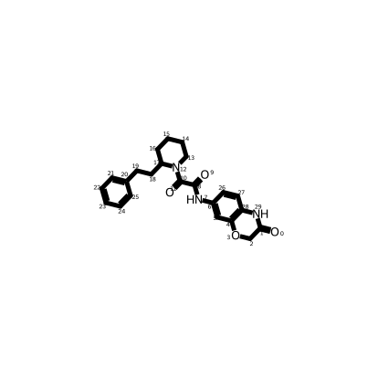 O=C1COc2cc(NC(=O)C(=O)N3CCCCC3CCc3ccccc3)ccc2N1